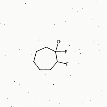 [O]C1(F)CCCCCC1F